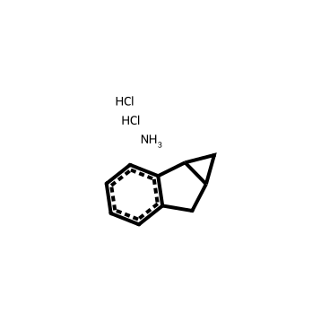 Cl.Cl.N.c1ccc2c(c1)CC1CC21